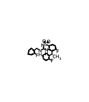 C[C@H](c1ccccc1F)c1c(F)ccc2c1NC(NCc1ccccc1F)=NS2(=O)=O